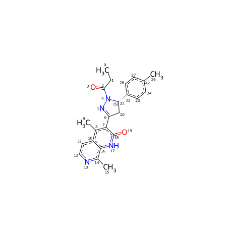 CCC(=O)N1N=C(c2c(C)c3ccnc(C)c3[nH]c2=O)C[C@H]1c1ccc(C)cc1